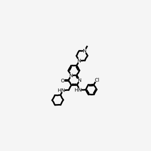 CN1CCN(c2ccn3c(=O)c(CNC4CCCCC4)c(Nc4cccc(Cl)c4)nc3c2)CC1